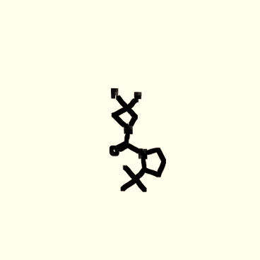 CC(C)(C)C1CCCN1C(=O)N1CC(F)(F)C1